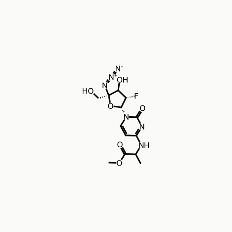 COC(=O)C(C)Nc1ccn([C@@H]2O[C@@](CO)(N=[N+]=[N-])C(O)[C@@H]2F)c(=O)n1